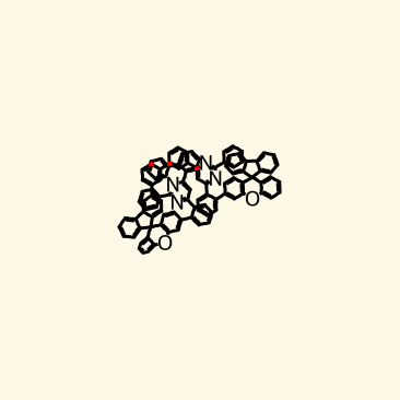 c1ccc(-c2nc(-c3cccc(-c4cccc(-c5ccc6c(c5)-c5ccccc5C65c6ccccc6Oc6cc(-c7ccccc7-c7cc(-c8ccccc8-c8ccccc8)nc(-c8ccccc8)n7)ccc65)c4)c3)cc(-c3ccccc3-c3ccc4c(c3)Oc3ccccc3C43c4ccccc4-c4ccccc43)n2)cc1